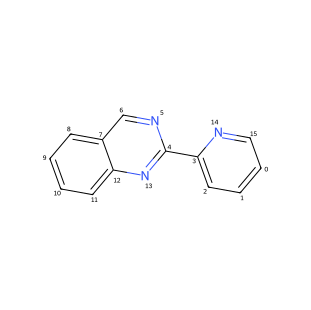 c1ccc(-c2ncc3ccccc3n2)nc1